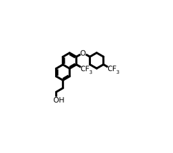 OCCc1ccc2ccc(OC3CCC(C(F)(F)F)CC3)c(C(F)(F)F)c2c1